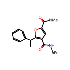 CCCNC(=O)c1cc(C(=O)NC)oc1C(C)c1ccccc1